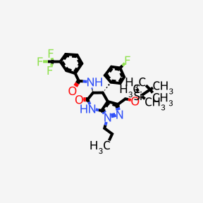 CCCn1nc(CO[Si](C)(C)C(C)(C)C)c2c1NC(=O)[C@H](NC(=O)c1cccc(C(F)(F)F)c1)[C@@H]2c1ccc(F)cc1